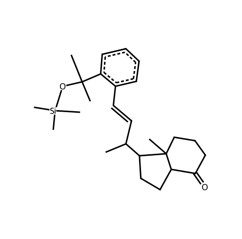 CC(C=Cc1ccccc1C(C)(C)O[Si](C)(C)C)C1CCC2C(=O)CCCC21C